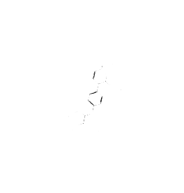 CC/C=C\C(c1ccc(OC(OC)C(C)C)cc1)C(C)C